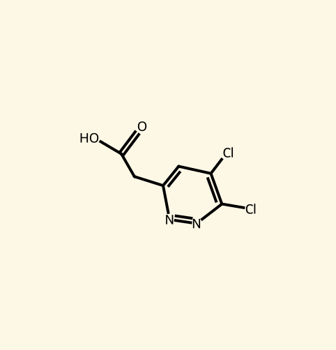 O=C(O)Cc1cc(Cl)c(Cl)nn1